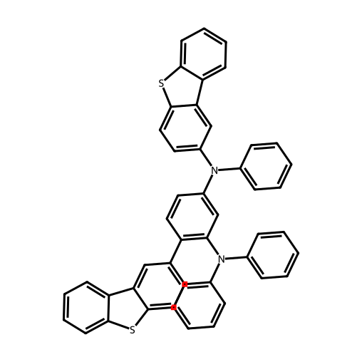 c1ccc(N(c2ccc(-c3ccc4sc5ccccc5c4c3)c(N(c3ccccc3)c3ccccc3)c2)c2ccc3sc4ccccc4c3c2)cc1